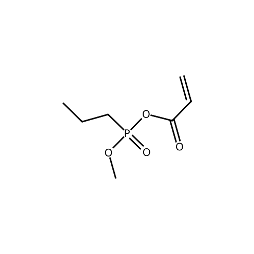 C=CC(=O)OP(=O)(CCC)OC